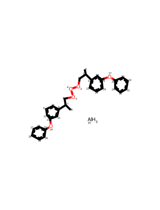 CC(COOOCC(C)c1cccc(Oc2ccccc2)c1)c1cccc(Oc2ccccc2)c1.[AlH3]